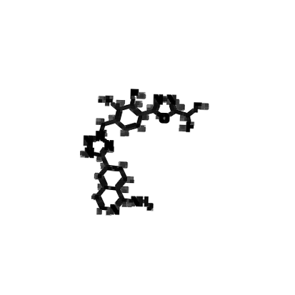 Nc1nccc2cc(-c3nnn(Cc4ccc(-c5nnc(C(F)F)o5)c(F)c4F)n3)ccc12